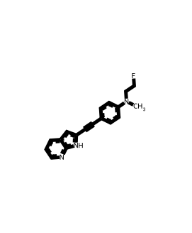 CN(CCF)c1ccc(C#Cc2cc3cccnc3[nH]2)cc1